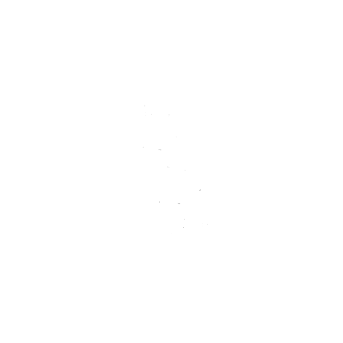 O=[SH](=O)c1ccc(C2=CCOCC2)cc1